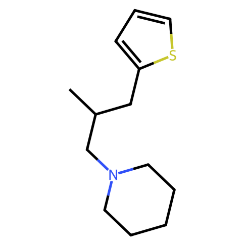 CC(Cc1cccs1)CN1CCCCC1